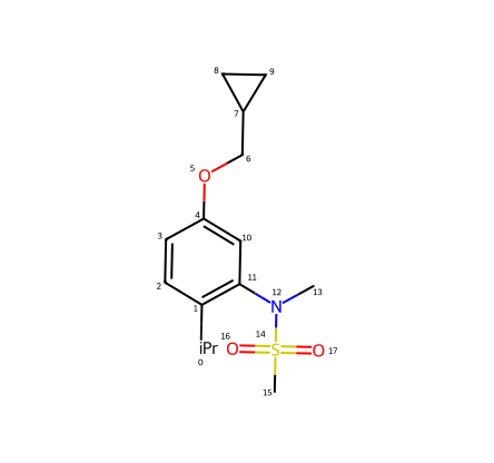 CC(C)c1ccc(OCC2CC2)cc1N(C)S(C)(=O)=O